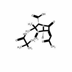 C=S1[C@@H]2C(=CC(C)=O)C(=O)N2[C@@H](C(=O)O)C1(C)C.CC(C)(C)C(=O)O